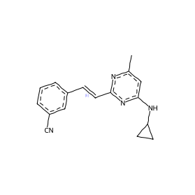 Cc1cc(NC2CC2)nc(/C=C/c2cccc(C#N)c2)n1